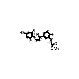 COC(=O)NCc1cc(-c2ccn(-c3c(F)cc(S)cc3F)n2)ccc1C